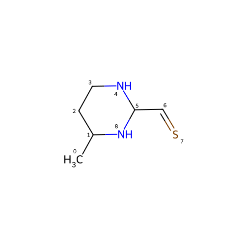 CC1CCNC(C=S)N1